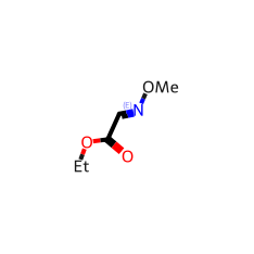 CCOC(=O)/C=N/OC